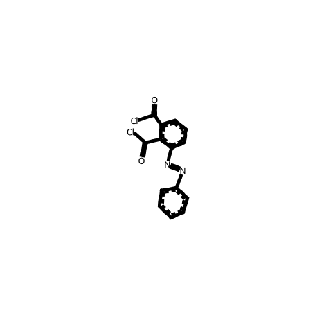 O=C(Cl)c1cccc(N=Nc2ccccc2)c1C(=O)Cl